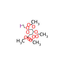 COC(=O)[C@H]1O[C@@H](OCCI)[C@H](OC(C)=O)[C@@H](OC(C)=O)[C@@H]1OC(C)=O